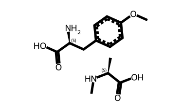 CN[C@@H](C)C(=O)O.COc1ccc(C[C@H](N)C(=O)O)cc1